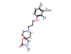 CCc1c(OCCCN2CCC3(CC2)CN(C(C)=O)C(=O)O3)ccc(C(C)=O)c1OC(C)=O